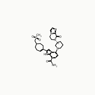 CS(=O)(=O)CC1CCC=C(c2cc3c(N4CCC[C@@H](N5CCn6ccnc6C5=O)C4)ccc(C(N)=O)c3[nH]2)CC1